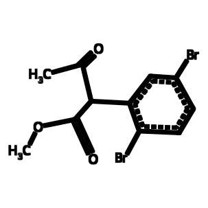 COC(=O)C(C(C)=O)c1cc(Br)ccc1Br